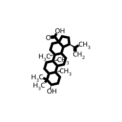 C=C(C)[C@@H]1CCC2(C(=O)O)CC[C@@]3(C)C(CCC4[C@@]5(C)CC[C@H](O)C(C)(C)C5CC[C@]43C)C12